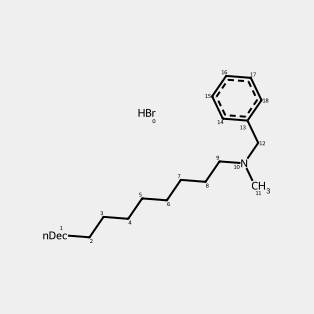 Br.CCCCCCCCCCCCCCCCCCN(C)Cc1ccccc1